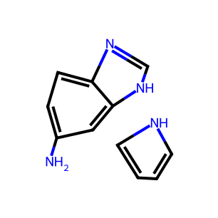 Nc1ccc2nc[nH]c2c1.c1cc[nH]c1